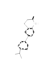 CC(C)c1ccc(-c2ccc3c(c2)CCC(=O)N3)cc1